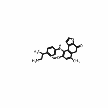 COc1cc(C)c2c(c1Nc1ccc(C(C)CN)cc1)-c1ccsc1C(=O)C2